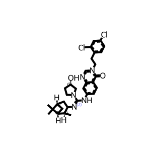 C[C@@H]1C(/N=C(/Nc2ccc3c(=O)n(CCc4ccc(Cl)cc4Cl)cnc3c2)N2CC[C@H](O)C2)C[C@@H]2C[C@H]1C2(C)C